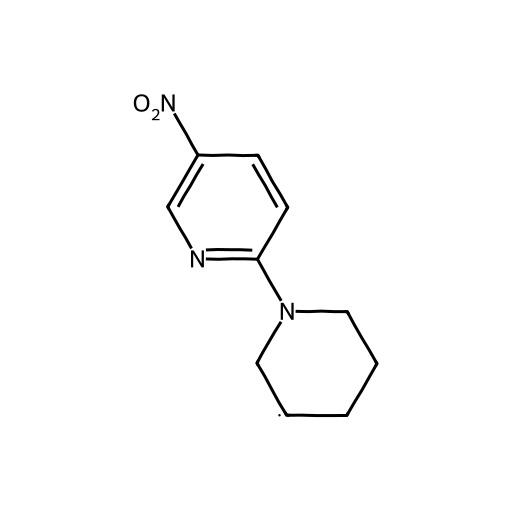 O=[N+]([O-])c1ccc(N2C[CH]CCC2)nc1